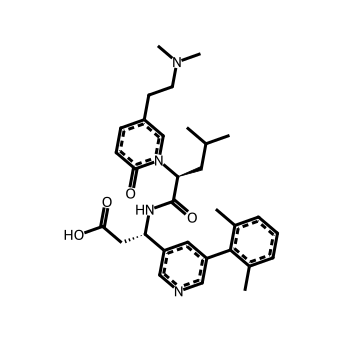 Cc1cccc(C)c1-c1cncc([C@H](CC(=O)O)NC(=O)[C@H](CC(C)C)n2cc(CCN(C)C)ccc2=O)c1